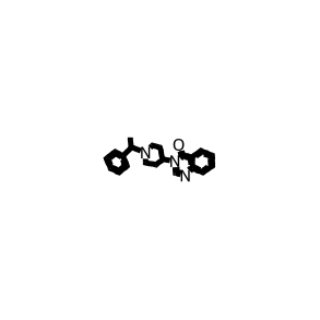 CC(c1ccccc1)N1CCC(n2cnc3ccccc3c2=O)CC1